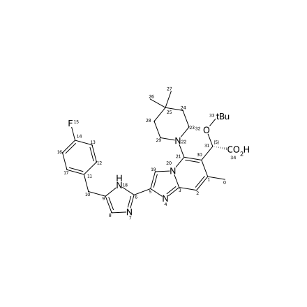 Cc1cc2nc(-c3ncc(Cc4ccc(F)cc4)[nH]3)cn2c(N2CCC(C)(C)CC2)c1[C@H](OC(C)(C)C)C(=O)O